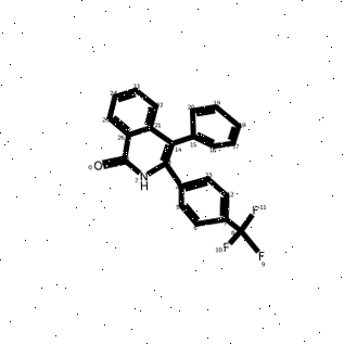 O=c1[nH]c(-c2ccc(C(F)(F)F)cc2)c(-c2ccccc2)c2ccccc12